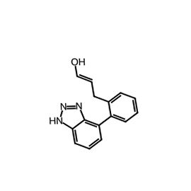 OC=CCc1ccccc1-c1cccc2[nH]nnc12